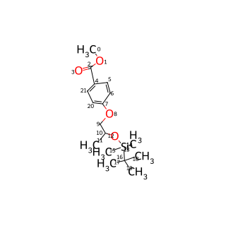 COC(=O)c1ccc(OCC(C)O[Si](C)(C)C(C)(C)C)cc1